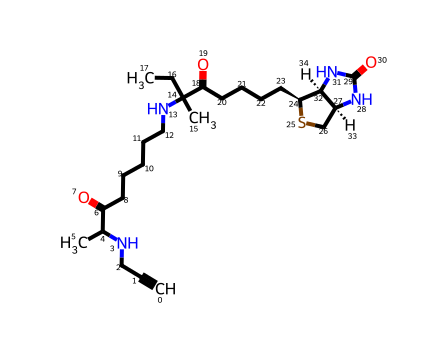 C#CCNC(C)C(=O)CCCCCNC(C)(CC)C(=O)CCCC[C@@H]1SC[C@@H]2NC(=O)N[C@@H]21